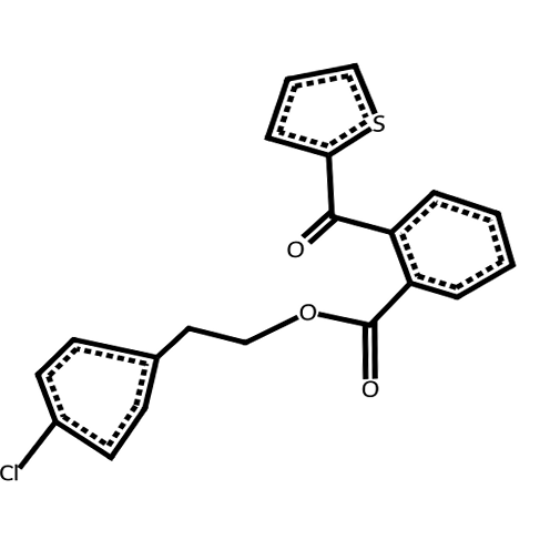 O=C(OCCc1ccc(Cl)cc1)c1ccccc1C(=O)c1cccs1